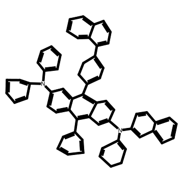 C1=CC(N(c2ccc3ccccc3c2)c2ccc3c(C4=CC=C(c5cccc6ccccc56)CC4)c4cc(N(c5ccccc5)c5ccccc5)ccc4c(-c4ccccc4)c3c2)=CCC1